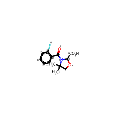 CC1(C)COC(C(=O)O)N1C(=O)c1ccccc1F